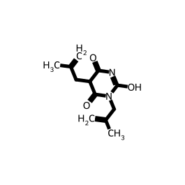 C=C(C)CC1C(=O)N=C(O)N(CC(=C)C)C1=O